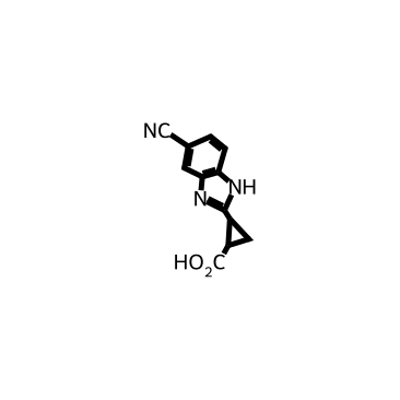 N#Cc1ccc2[nH]c(C3CC3C(=O)O)nc2c1